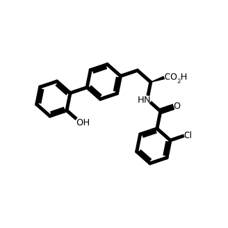 O=C(N[C@@H](Cc1ccc(-c2ccccc2O)cc1)C(=O)O)c1ccccc1Cl